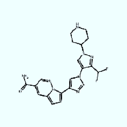 NC(=O)c1cnn2c(-c3cn(-c4cn(C5CCNCC5)nc4C(F)F)nn3)ccc2c1